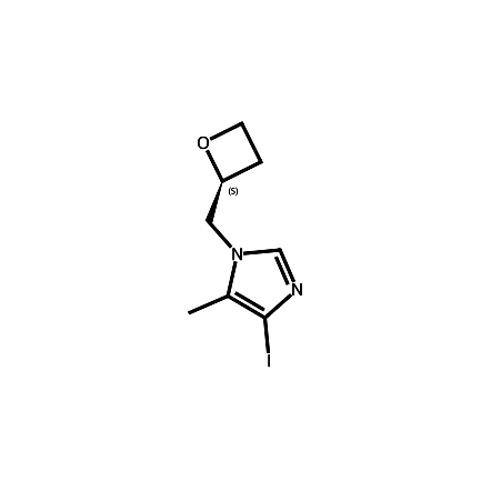 Cc1c(I)ncn1C[C@@H]1CCO1